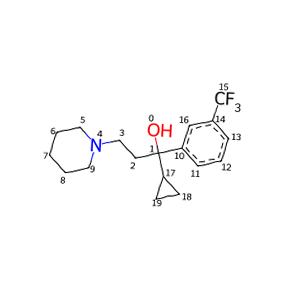 OC(CCN1CCCCC1)(c1cccc(C(F)(F)F)c1)C1CC1